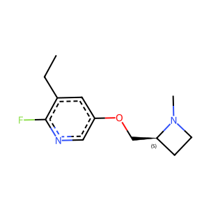 CCc1cc(OC[C@@H]2CCN2C)cnc1F